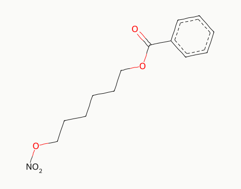 O=C(OCCCCCCO[N+](=O)[O-])c1ccccc1